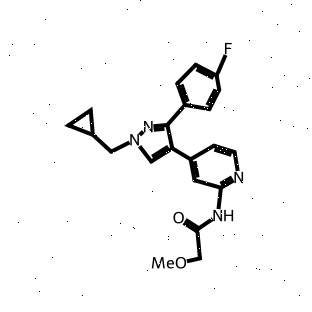 COCC(=O)Nc1cc(-c2cn(CC3CC3)nc2-c2ccc(F)cc2)ccn1